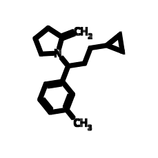 C=C1CCCN1C(CCC1CC1)c1cccc(C)c1